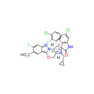 O=C(O)c1cc2c3n(nc2cc1F)[C@@H]1[C@H](CO3)N(CC2CC2)[C@@]2(C(=O)Nc3cc(Cl)ccc32)[C@H]1c1cccc(Cl)c1F